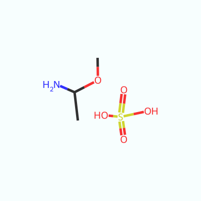 COC(C)N.O=S(=O)(O)O